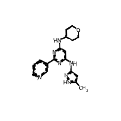 Cc1cc(Nc2cc(NC3CCOCC3)nc(-c3cccnc3)n2)n[nH]1